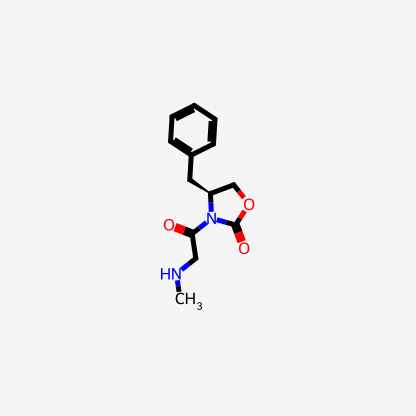 CNCC(=O)N1C(=O)OC[C@@H]1Cc1ccccc1